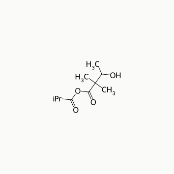 CC(C)C(=O)OC(=O)C(C)(C)C(C)O